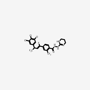 O=C(NNC1=NCCCN1)c1ccc(/C(F)=C/C(c2cc(Cl)c(Cl)c(Cl)c2)C(F)(F)F)cc1C(F)(F)F